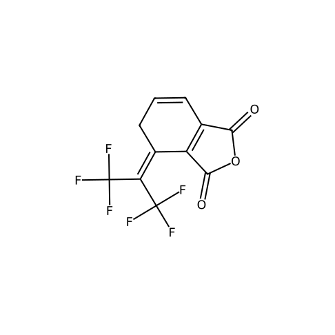 O=C1OC(=O)C2=C1C=CCC2=C(C(F)(F)F)C(F)(F)F